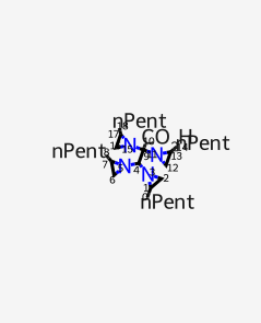 CCCCCC1CN1C(N1CC1CCCCC)C(C(=O)O)(N1CC1CCCCC)N1CC1CCCCC